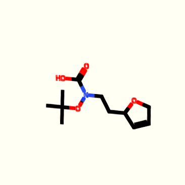 CC(C)(C)ON(CCC1C=CCO1)C(=O)O